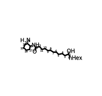 CCCCCCC(O)CCCCCCCCCCC(=O)N[C@H]1CCCC[C@@H]1N